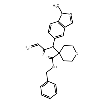 C=CC(=O)N(c1ccc2c(cnn2C)c1)C1(C(=O)NCc2ccccc2)CCOCC1